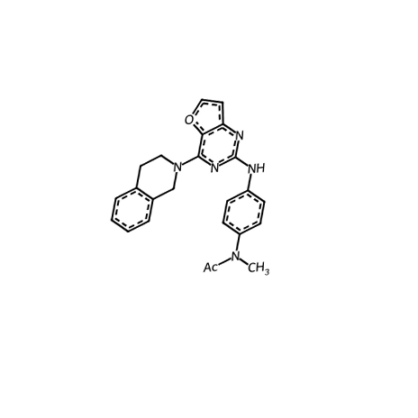 CC(=O)N(C)c1ccc(Nc2nc(N3CCc4ccccc4C3)c3occc3n2)cc1